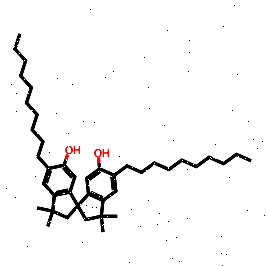 CCCCCCCCCCc1cc2c(cc1O)C1(CC2(C)C)CC(C)(C)c2cc(CCCCCCCCCC)c(O)cc21